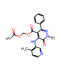 CCCC(=O)OCOC(=O)c1c(-c2ccccc2)nn(CC)c(=O)c1Nc1cnccc1C